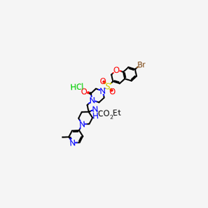 CCOC(=O)NC1(CN2CCN(S(=O)(=O)C3=Cc4ccc(Br)cc4OC3)CC2=O)CCN(c2ccnc(C)c2)CC1.Cl